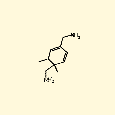 CC1C=C(CN)C=CC1(C)CN